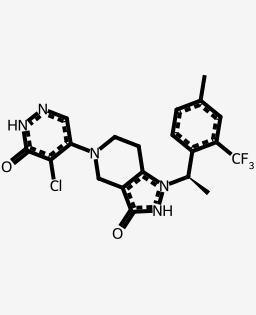 Cc1ccc([C@@H](C)n2[nH]c(=O)c3c2CCN(c2cn[nH]c(=O)c2Cl)C3)c(C(F)(F)F)c1